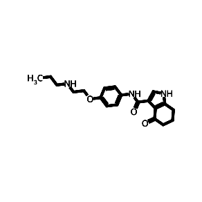 CCCNCCOc1ccc(NC(=O)c2c[nH]c3c2C(=O)CCC3)cc1